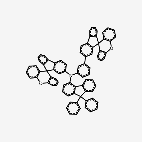 c1ccc(C2(c3ccccc3)c3ccccc3-c3c(N(c4cccc(-c5ccc6c(c5)C5(c7ccccc7Oc7ccccc75)c5ccccc5-6)c4)c4ccc5c(c4)C4(c6ccccc6Oc6ccccc64)c4ccccc4-5)cccc32)cc1